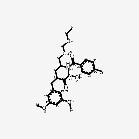 CCOCOCC(CC(Cc1cc(OC)cc(OC)c1)C(=O)NO)NC(=O)c1ccc(C)cc1